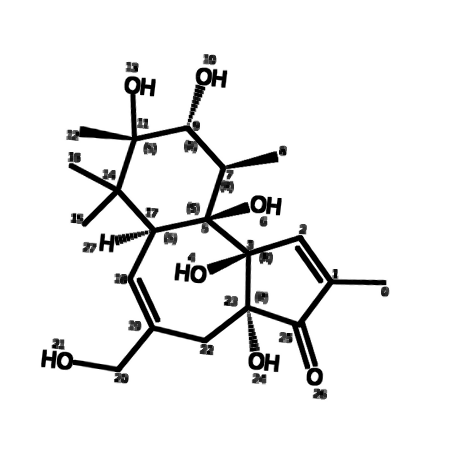 CC1=C[C@@]2(O)[C@@]3(O)[C@H](C)[C@@H](O)[C@@](C)(O)C(C)(C)[C@@H]3C=C(CO)C[C@]2(O)C1=O